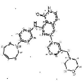 O=c1[nH]ccc2cc(-c3cncc(CN4CCOCC4)c3)nc(Nc3ccc(N4CCC=CCC4)cc3)c12